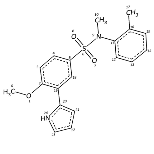 COc1ccc(S(=O)(=O)N(C)c2ccccc2C)cc1-c1ccc[nH]1